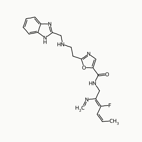 C=N/C(CNC(=O)c1cnc(CCNCc2nc3ccccc3[nH]2)o1)=C(F)\C=C/C